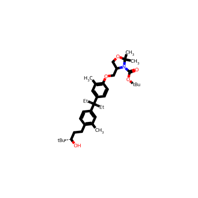 CCC(CC)(c1ccc(CC[C@H](O)C(C)(C)C)c(C)c1)c1ccc(OCC2COC(C)(C)N2C(=O)OC(C)(C)C)c(C)c1